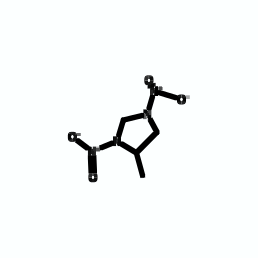 CC1CN([N+](=O)[O-])CN1[N+](=O)[O-]